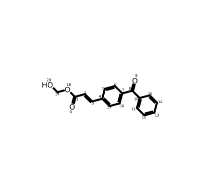 O=C(C=Cc1ccc(C(=O)c2ccccc2)cc1)OCO